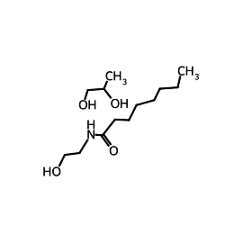 CC(O)CO.CCCCCCCC(=O)NCCO